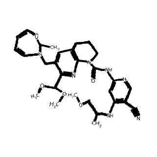 COCC(C)Nc1cc(NC(=O)N2CCCc3cc(CN4C=CC=COC4C)c(C(OC)OC)nc32)ncc1C#N